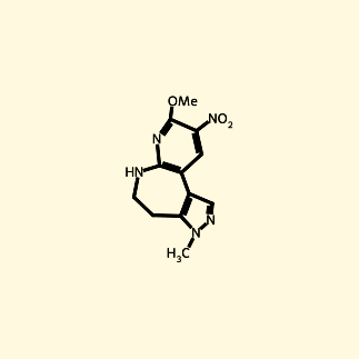 COc1nc2c(cc1[N+](=O)[O-])-c1cnn(C)c1CCN2